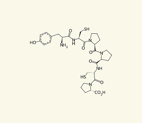 N[C@@H](Cc1ccc(O)cc1)C(=O)N[C@@H](CS)C(=O)N1CCC[C@H]1C(=O)N1CCC[C@H]1C(=O)N[C@@H](CS)C(=O)N1CCC[C@H]1C(=O)O